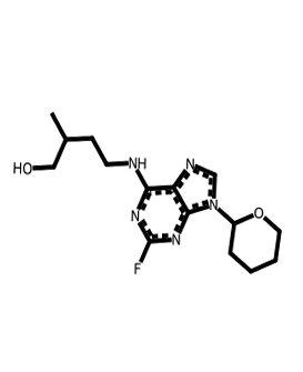 CC(CO)CCNc1nc(F)nc2c1ncn2C1CCCCO1